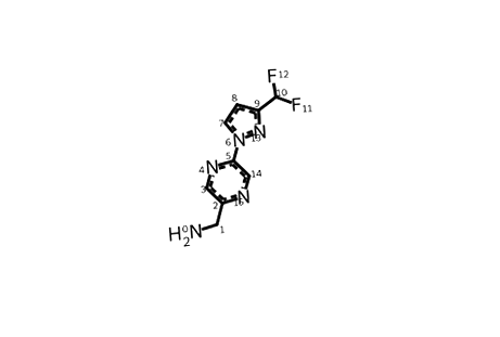 NCc1cnc(-n2ccc(C(F)F)n2)cn1